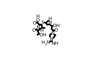 CC(O)C1C(=O)N2C(C(=O)O)=C(SC3CNC(C(O)CC(=O)N4CCN(C(=N)N)CC4)C3)C(C)[C@@H]12